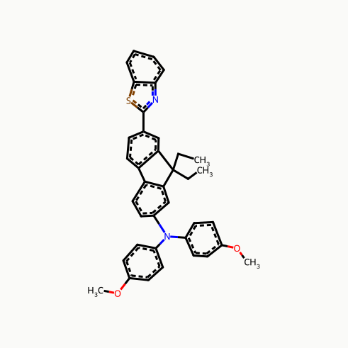 CCC1(CC)c2cc(-c3nc4ccccc4s3)ccc2-c2ccc(N(c3ccc(OC)cc3)c3ccc(OC)cc3)cc21